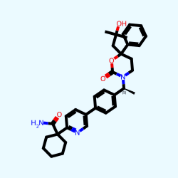 C[C@@H](c1ccc(-c2ccc(C3(C(N)=O)CCCCC3)nc2)cc1)N1CCC(CC(C)(C)O)(c2ccccc2)OC1=O